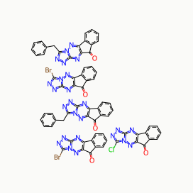 O=C1c2ccccc2-c2nc3nnc(Br)n3nc21.O=C1c2ccccc2-c2nc3nnc(Cc4ccccc4)n3nc21.O=C1c2ccccc2-c2nc3nnc(Cl)n3nc21.O=C1c2ccccc2-c2nn3c(Br)nnc3nc21.O=C1c2ccccc2-c2nn3c(Cc4ccccc4)nnc3nc21